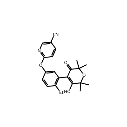 CCc1ccc(Oc2ccc(C#N)cn2)cc1C1=C(O)C(C)(C)OC(C)(C)C1=O